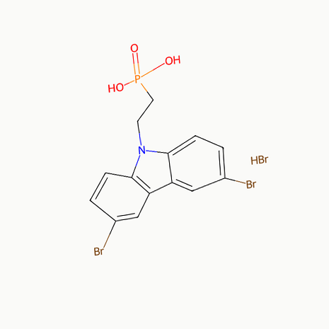 Br.O=P(O)(O)CCn1c2ccc(Br)cc2c2cc(Br)ccc21